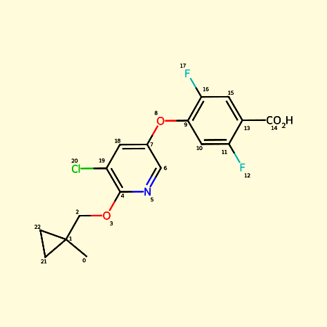 CC1(COc2ncc(Oc3cc(F)c(C(=O)O)cc3F)cc2Cl)CC1